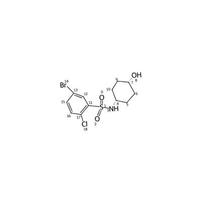 O=S(=O)(N[C@H]1CC[C@@H](O)CC1)c1cc(Br)ccc1Cl